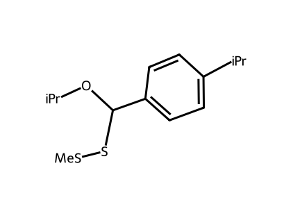 CSSC(OC(C)C)c1ccc(C(C)C)cc1